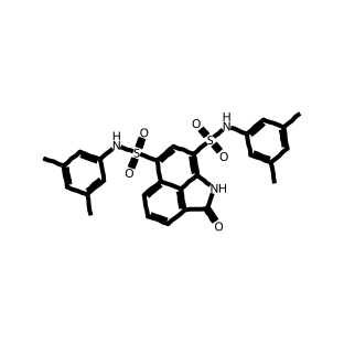 Cc1cc(C)cc(NS(=O)(=O)c2cc(S(=O)(=O)Nc3cc(C)cc(C)c3)c3cccc4c3c2NC4=O)c1